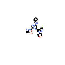 CN(Cc1ccccc1)c1cc(-c2cn(C3CCOCC3)c3ncc(F)cc23)nc2c(C(=O)N[C@@H]3CC[C@H]3O)cnn12